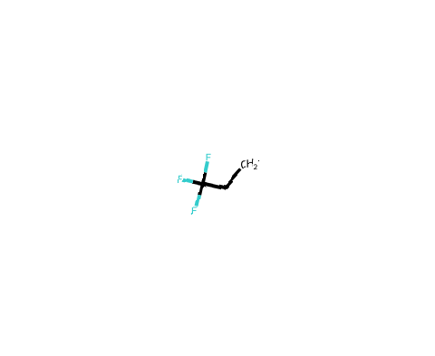 [CH2]CC(F)(F)F